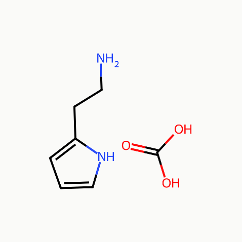 NCCc1ccc[nH]1.O=C(O)O